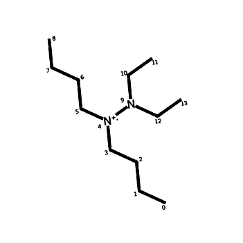 CCCC[N+](CCCC)N(CC)CC